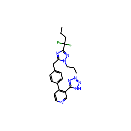 CCCn1nc(C(F)(F)CCC)nc1Cc1ccc(-c2ccncc2-c2nnn[nH]2)cc1